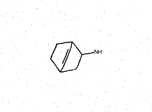 [NH]C1CC2C=CC1CC2